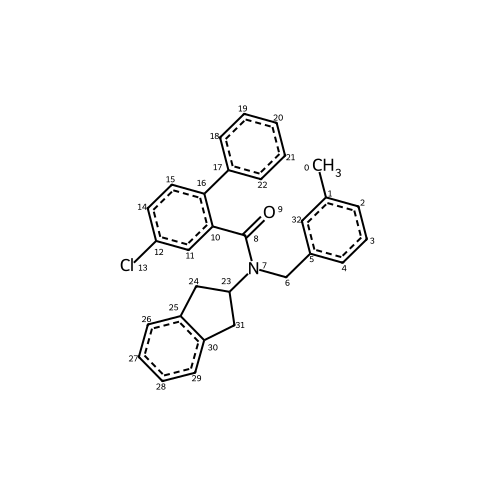 Cc1cccc(CN(C(=O)c2cc(Cl)ccc2-c2ccccc2)C2Cc3ccccc3C2)c1